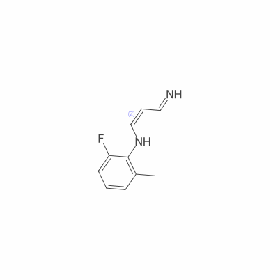 Cc1cccc(F)c1N/C=C\C=N